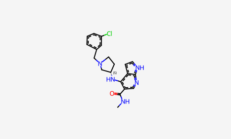 CNC(=O)c1cnc2[nH]ccc2c1N[C@H]1CCN(Cc2cccc(Cl)c2)C1